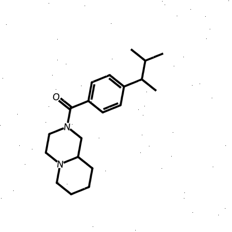 CC(C)C(C)c1ccc(C(=O)N2CCN3CCCCC3C2)cc1